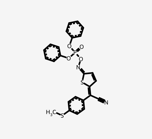 CSc1ccc(/C(C#N)=C2C=C/C(=N\OP(=O)(Oc3ccccc3)Oc3ccccc3)S/2)cc1